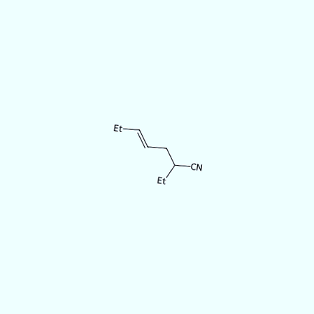 CC/C=C/CC(C#N)CC